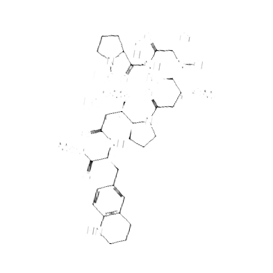 CC[C@H](C)[C@@H]([C@@H](CC(=O)N1CCC[C@H]1[C@H](OC)[C@@H](C)C(=O)N[C@@H](Cc1ccc2c(c1)CCCN2)C(=O)OC)OC)N(C)[C@H](C(=O)NC(=O)[C@]1(C)CCCN1C)C(C)C